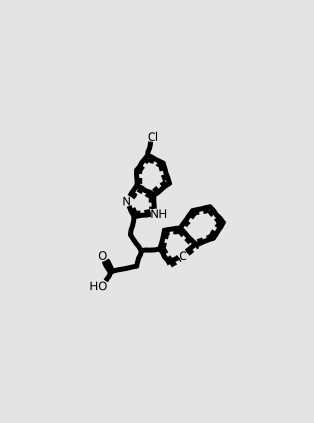 O=C(O)CC(Cc1nc2cc(Cl)ccc2[nH]1)c1ccc2ccccc2c1